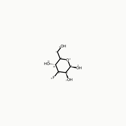 OCC1O[C@@H](O)[C@@H](O)C(F)[C@@H]1O